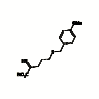 CCOC(=O)C(=N)CCCSCc1ccc(OC)cc1